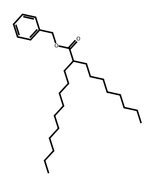 CCCCCCCCCCC(CCCCCCCC)C(=O)OCc1ccccc1